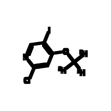 [2H]C([2H])([2H])Oc1cc(Cl)ncc1I